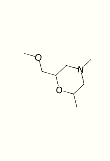 COCC1CN(C)CC(C)O1